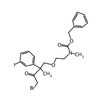 CN(CCOCC(C)(C(=O)CBr)c1cccc(I)c1)C(=O)OCc1ccccc1